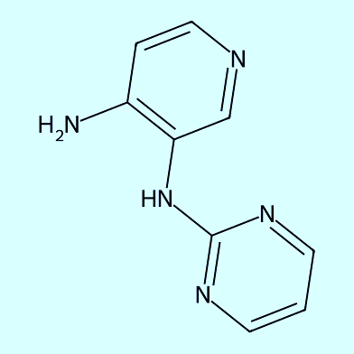 Nc1ccncc1Nc1ncccn1